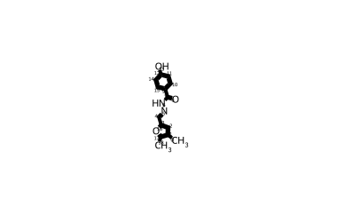 Cc1cc(C=NNC(=O)c2ccc(O)cc2)oc1C